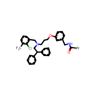 CC(C)C(=O)NCc1cccc(OCCCN(Cc2cccc(C(F)(F)F)c2Cl)CC(c2ccccc2)c2ccccc2)c1